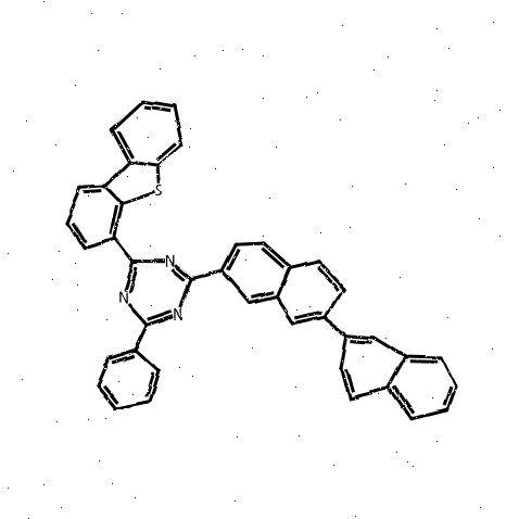 c1ccc(-c2nc(-c3ccc4ccc(-c5ccc6ccccc6c5)cc4c3)nc(-c3cccc4c3sc3ccccc34)n2)cc1